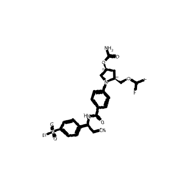 CCS(=O)(=O)c1ccc(C(CC#N)NC(=O)c2ccc(N3C[C@@H](OC(N)=O)C[C@H]3COC(F)F)cc2)cc1